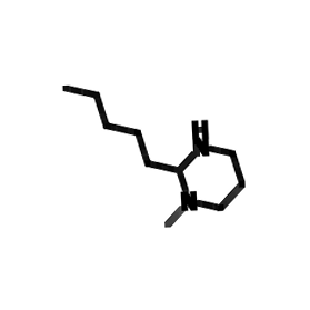 CCCCCC1NCCCN1C